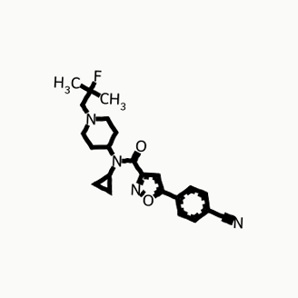 CC(C)(F)CN1CCC(N(C(=O)c2cc(-c3ccc(C#N)cc3)on2)C2CC2)CC1